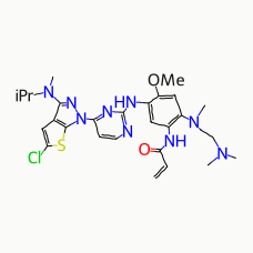 C=CC(=O)Nc1cc(Nc2nccc(-n3nc(N(C)C(C)C)c4cc(Cl)sc43)n2)c(OC)cc1N(C)CCN(C)C